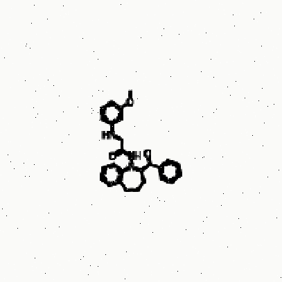 COc1cccc(NCC(=O)NN2c3ccccc3CCCC2C(=O)c2ccccc2)c1